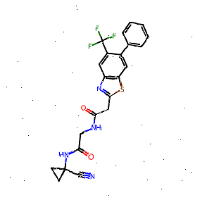 N#CC1(NC(=O)CNC(=O)Cc2nc3cc(C(F)(F)F)c(-c4ccccc4)cc3s2)CC1